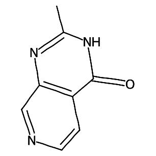 Cc1nc2cnccc2c(=O)[nH]1